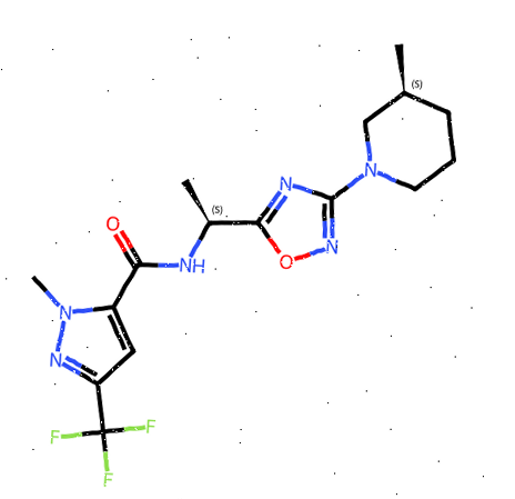 C[C@H]1CCCN(c2noc([C@H](C)NC(=O)c3cc(C(F)(F)F)nn3C)n2)C1